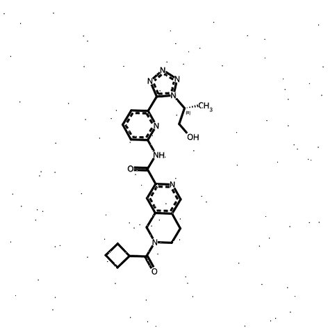 C[C@H](CO)n1nnnc1-c1cccc(NC(=O)c2cc3c(cn2)CCN(C(=O)C2CCC2)C3)n1